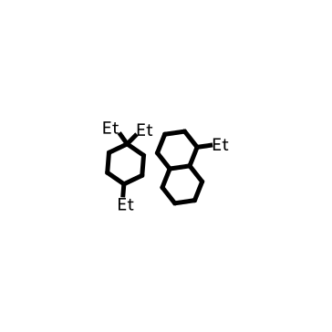 CCC1CCC(CC)(CC)CC1.CCC1CCCC2CCCCC12